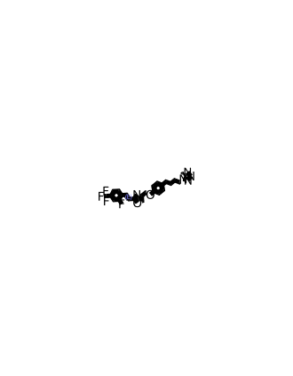 Fc1cc(C(F)(F)F)ccc1/C=C/c1nc(COc2ccc(CCCCn3cnnn3)cc2)co1